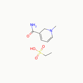 CCS(=O)(=O)O.CN1C=CC=C(C(N)=O)C1